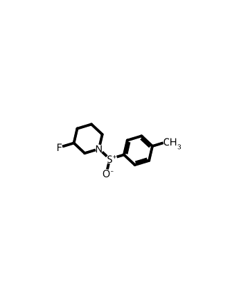 Cc1ccc([S+]([O-])N2CCCC(F)C2)cc1